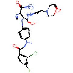 NC(=O)c1ncn(-c2ccc(NC(=O)c3ccc(F)cc3Cl)cc2)c1C(=O)NCCN1CCOCC1